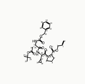 C=CCOC(=O)[C@H]1CCCN1C(=O)[C@H](NC(=O)[C@H](CC(=O)OC(C)(C)C)NC(=O)OCc1ccccc1)C1CC1